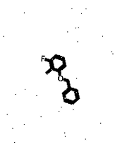 Cc1c(F)cccc1OCc1ccccc1